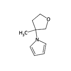 CC1(n2cccc2)CCOC1